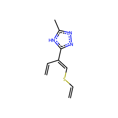 C=CS/C=C(\C=C)c1nnc(C)[nH]1